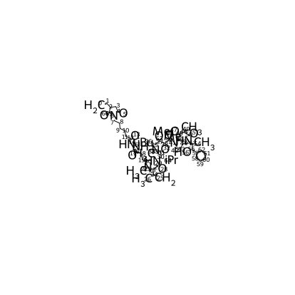 C=CC1CC(=O)N(CCCCCC(=O)NNC(=O)CCCN(C)[C@@H](C(=C)C)C(=O)N[C@H](C(=O)N(C)[C@@H]([C@@H](C)CC)[C@@H](CC(=O)N2CCC[C@H]2[C@H](OC)[C@@H](C)C(=O)N[C@@H](C)[C@H](O)c2ccccc2)OC)C(C)C)C1=O